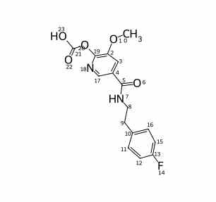 COc1cc(C(=O)NCCc2ccc(F)cc2)cnc1OC(=O)O